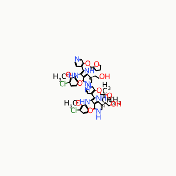 COc1c(Cl)cccc1Nc1c(-c2ccncc2OCC(C)(C)OC)[nH]c2c1C(=O)NC[C@@H]2CCO.COc1c(Cl)cccc1Nc1c(-c2ccncc2OC[C@@H]2CCCO2)[nH]c2c1C(=O)NC[C@@H]2CCO